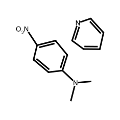 CN(C)c1ccc([N+](=O)[O-])cc1.c1ccncc1